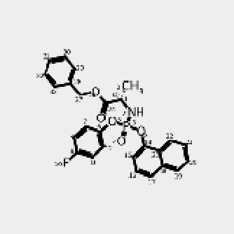 C[C@H](NP(=O)(Oc1ccc(F)cc1)Oc1cccc2ccccc12)C(=O)OCc1ccccc1